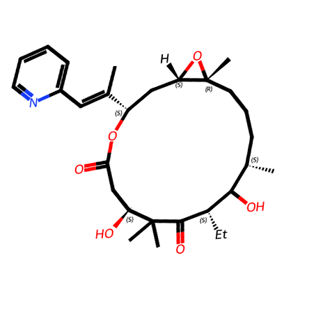 CC[C@@H]1C(=O)C(C)(C)[C@@H](O)CC(=O)O[C@H](C(C)=Cc2ccccn2)C[C@@H]2O[C@]2(C)CCC[C@H](C)C1O